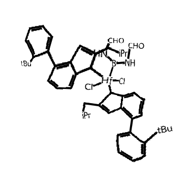 CC(C)CC1=Cc2c(-c3ccccc3C(C)(C)C)cccc2[CH]1[Hf]([Cl])([Cl])([B](NC=O)NC=O)[CH]1C(CC(C)C)=Cc2c(-c3ccccc3C(C)(C)C)cccc21